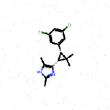 Cc1nc([C@@H]2[C@@H](c3cc(Cl)cc(Cl)c3)C2(C)C)c(C)[nH]1